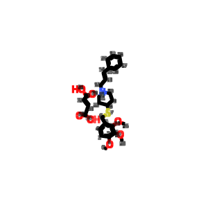 COc1ccc(CSC2CCN(CC=Cc3ccccc3)CC2)c(OC)c1OC.O=C(O)C=CC(=O)O